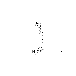 [CH2-][C+]1CCC(C=CC2CCC(CCCCCCCC3CCC(C)C(F)(F)C3)CC2)CC1